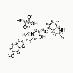 COc1ccc2cc([C@H]3CCN(C[C@H](O)COc4cccc5[nH]c(C)cc45)[C@@H](C)C3)sc2c1.O=C(O)C(=O)O